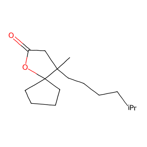 CC(C)CCCCC1(C)CC(=O)OC12CCCC2